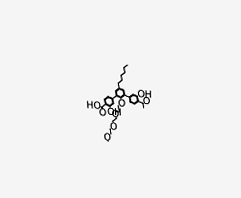 CCCCCCc1cc(-c2ccc(C(C)=O)c(O)c2)c(OCCOCCOCCOC)c(-c2ccc(C(=O)O)c(O)c2)c1